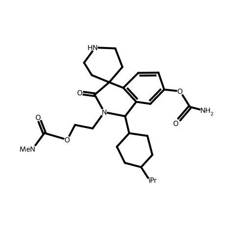 CNC(=O)OCCN1C(=O)C2(CCNCC2)c2ccc(OC(N)=O)cc2C1C1CCC(C(C)C)CC1